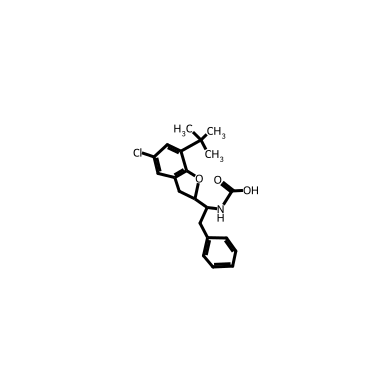 CC(C)(C)c1cc(Cl)cc2c1OC(C(Cc1ccccc1)NC(=O)O)C2